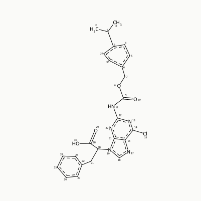 CC(C)c1ccc(COC(=O)Nc2nc(Cl)c3ncn(C(Cc4ccccc4)C(=O)O)c3n2)cc1